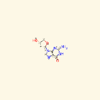 Nc1nc2c(ncn2[C@H]2C[C@H](O)CO2)c(=O)[nH]1